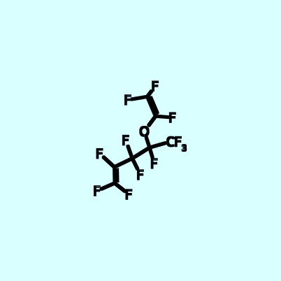 FC(F)=C(F)OC(F)(C(F)(F)F)C(F)(F)C(F)=C(F)F